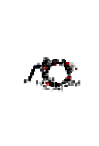 CC(C)CCCCCCC/C=C\CC(=O)NC(CC(N)=O)C(=O)NC1C(=O)N2CCCCC2C(=O)NC(C(C)C(=O)O)C(=O)NC(CC(=O)O)C(=O)NCC(=O)NC(CC(=O)O)C(=O)NCC(=O)NC(C(C)N)C(=O)NC(C(C)C)C(=O)N2CCCC2C(=O)NC1C